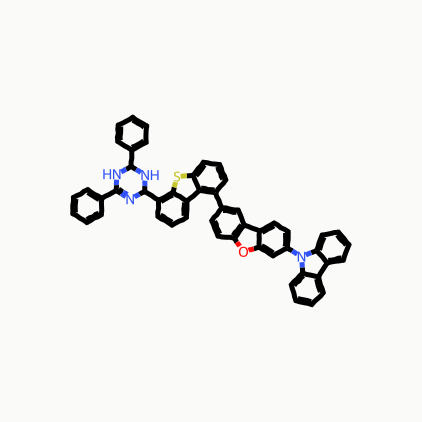 c1ccc(C2=NC(c3cccc4c3sc3cccc(-c5ccc6oc7cc(-n8c9ccccc9c9ccccc98)ccc7c6c5)c34)NC(c3ccccc3)N2)cc1